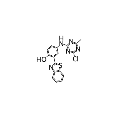 Cc1nc(Cl)nc(Nc2ccc(O)c(-c3nc4ccccc4s3)c2)n1